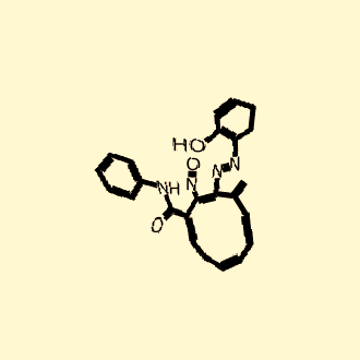 C=C1/C=C\C=C/C/C=C(C(=O)Nc2ccccc2)\C(N=O)=C/1N=NC1=C(O)C#CCC1